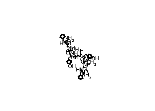 C[C@@H](NC(=O)[C@H](Cc1ccc(O)cc1)NCCCCN[C@@H](Cc1ccc(O)cc1)C(=O)N[C@H](C)C(=O)NCC(=O)N[C@@H](Cc1ccccc1)C(N)=O)C(=O)NCC(=O)N[C@@H](Cc1ccccc1)C(N)=O